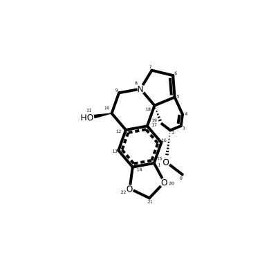 CO[C@H]1C=CC2=CCN3C[C@H](O)c4cc5c(cc4[C@]23C1)OCO5